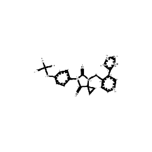 O=C1N(c2ccc(OC(F)(F)F)cc2)C(=O)C2(CC2)N1Cc1ccncc1-c1nnn[nH]1